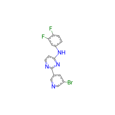 Fc1ccc(Nc2ccnc(-c3cncc(Br)c3)n2)cc1F